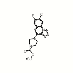 CC(C)(C)OC(=O)N1CCN(c2nc3cc(F)c(Cl)cc3n3nnnc23)CC1